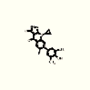 Cc1cc(-c2cc3c(cc2F)c(=O)c2c(=O)[nH]sc2n3C2CC2)cc(C)c1O